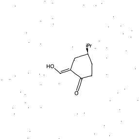 CC(C)[C@H]1CCC(=O)/C(=C/O)C1